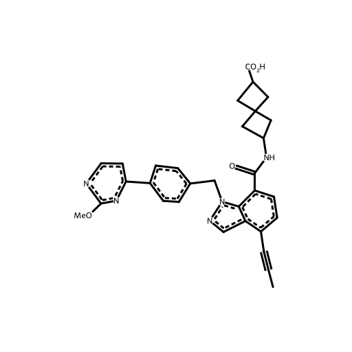 CC#Cc1ccc(C(=O)NC2CC3(C2)CC(C(=O)O)C3)c2c1cnn2Cc1ccc(-c2ccnc(OC)n2)cc1